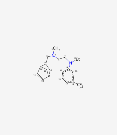 CCN(CCN(C)CC1CC2C=CC1C2)c1cccc(C(F)(F)F)c1